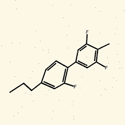 CCCc1ccc(-c2cc(F)c(C)c(F)c2)c(F)c1